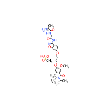 COc1cc(C(=O)N(C(C)C)C(C)C)ccc1OCCCCOc1ccc2c(NC(=O)CNC(=O)[C@H](C)N)noc2c1.CS(=O)(=O)O